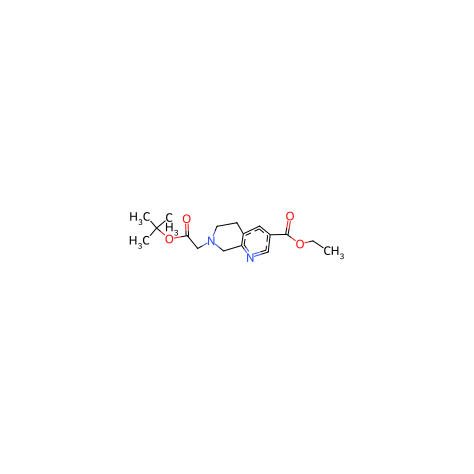 CCOC(=O)c1cnc2c(c1)CCN(CC(=O)OC(C)(C)C)C2